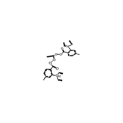 C=C[SiH](C=C)c1cc(C)ccc1C(=O)OOC(=C)OOC(=O)c1ccc(C)cc1[SiH](C=C)C=C